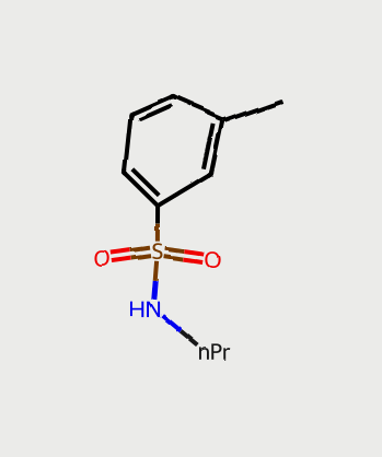 CCCNS(=O)(=O)c1cccc(C)c1